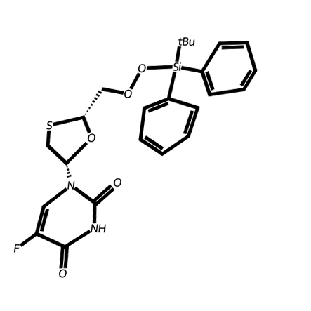 CC(C)(C)[Si](OOC[C@@H]1O[C@H](n2cc(F)c(=O)[nH]c2=O)CS1)(c1ccccc1)c1ccccc1